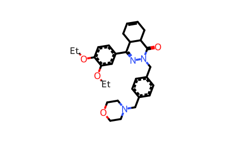 CCOc1ccc(C2=NN(Cc3ccc(CN4CCOCC4)cc3)C(=O)C3CC=CCC23)cc1OCC